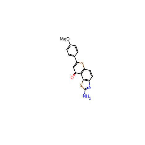 COc1ccc(-c2cc(=O)c3c(ccc4nc(N)sc43)s2)cc1